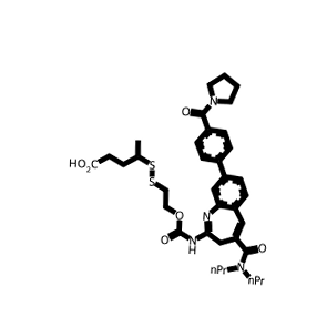 CCCN(CCC)C(=O)C1=Cc2ccc(-c3ccc(C(=O)N4CCCC4)cc3)cc2N=C(NC(=O)OCCSSC(C)CCC(=O)O)C1